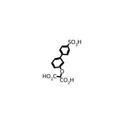 O=C(O)C(Oc1cccc(-c2ccc(S(=O)(=O)O)cc2)c1)C(=O)O